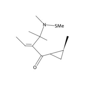 C/C=C(/C(=O)C1C[C@@H]1C)C(C)(C)N(C)SC